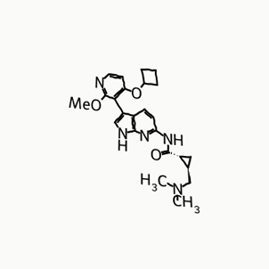 COc1nccc(OC2CCC2)c1-c1c[nH]c2nc(NC(=O)[C@@H]3C[C@H]3CN(C)C)ccc12